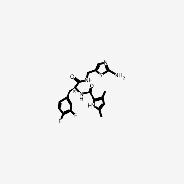 Cc1cc(C)c(C(=O)N[C@@H](Cc2ccc(F)c(F)c2)C(=O)NCc2cnc(N)s2)[nH]1